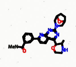 CNC(=O)c1cccc(-c2ccc3c(C4OCCNC4C)nc(N4CC5CCC(C4)O5)nc3n2)c1